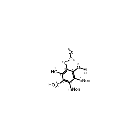 CCCCCCCCCc1c(CCCCCCCCC)c(C(=O)O)c(O)c(OOCC)c1OCC